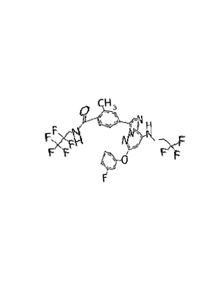 Cc1cc(-c2cnc3c(NCCC(F)(F)F)cc(Oc4cccc(F)c4)nn23)ccc1C(=O)NCC(F)(F)C(F)(F)F